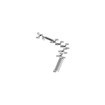 N.N.N.N.N.N.N.N.N.N.N.N.N.N.N.N.O=[Si]([O-])O.OB(O)O.OB(O)O.OB(O)O.OB(O)O.OB(O)O.[Na+]